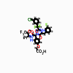 CC(C)C(NC(=O)C(NC(=O)C(Cc1cccc(F)c1)NC(=O)C(F)(F)c1cccc(Cl)c1)c1ccc(OCC(=O)O)cc1)C(=O)C(F)(F)F